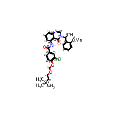 COc1ccccc1C(C)n1cnc2cccc(NC(=O)c3ccc(OCOCC[Si](C)(C)C)c(Cl)c3)c2c1=O